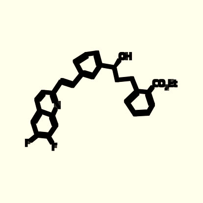 CCOC(=O)c1ccccc1CC[C@H](O)c1cccc(C=Cc2ccc3cc(F)c(F)cc3n2)c1